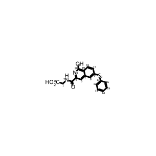 O=C(O)CNC(=O)c1cc2cc(Sc3ccccc3)ccc2c(O)n1